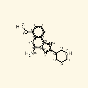 COc1cccc2c1nc(N)n1nc(C3CCCNC3)nc21